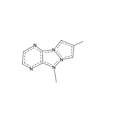 Cc1cn2c3nccnc3n(C)[n+]2c1